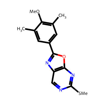 COc1c(C)cc(-c2nc3cnc(SC)nc3o2)cc1C